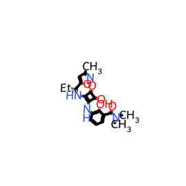 CC[C@@H](Nc1c(Nc2cccc(C(=O)N(C)C)c2O)c(=O)c1=O)c1cc(C)no1